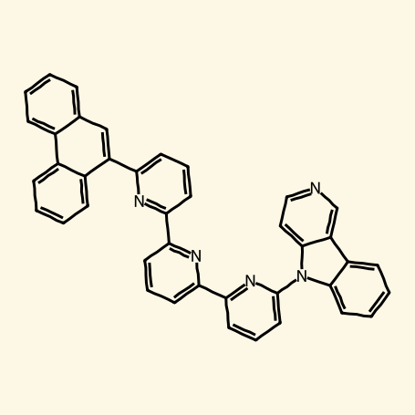 c1cc(-c2cccc(-c3cc4ccccc4c4ccccc34)n2)nc(-c2cccc(-n3c4ccccc4c4cnccc43)n2)c1